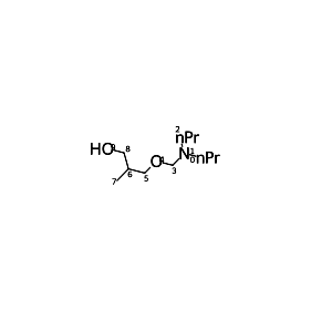 CCCN(CCC)COCC(C)CO